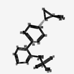 CS(=O)(=O)Nc1ccccc1-c1ccc([C@@H]2C[C@H]2N)cn1